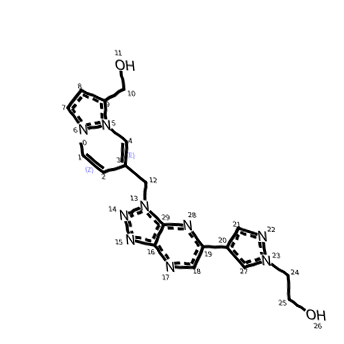 C/C=C\C(=C/n1nccc1CO)Cn1nnc2ncc(-c3cnn(CCO)c3)nc21